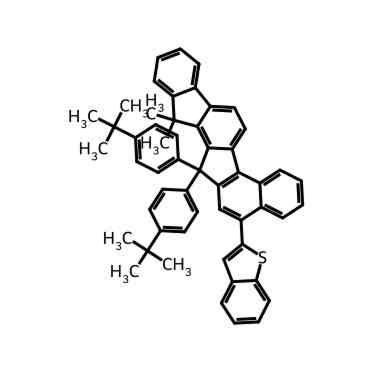 CC(C)(C)c1ccc(C2(c3ccc(C(C)(C)C)cc3)c3cc(-c4cc5ccccc5s4)c4ccccc4c3-c3ccc4c(c32)C(C)(C)c2ccccc2-4)cc1